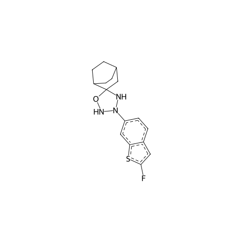 Fc1cc2ccc(N3NOC4(CC5CCC4CC5)N3)cc2s1